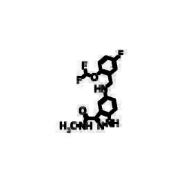 CNC(=O)c1n[nH]c2ccc(NCc3cc(F)ccc3OC(F)F)cc12